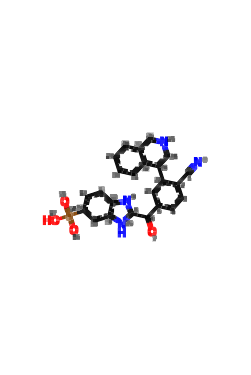 N#Cc1ccc(C(=O)c2nc3ccc(S(=O)(=O)O)cc3[nH]2)cc1-c1cncc2ccccc12